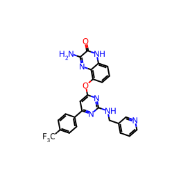 Nc1nc2c(Oc3cc(-c4ccc(C(F)(F)F)cc4)nc(NCc4cccnc4)n3)cccc2[nH]c1=O